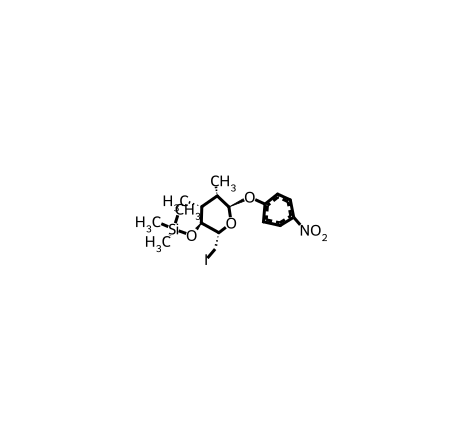 C[C@@H]1[C@@H](Oc2ccc([N+](=O)[O-])cc2)O[C@H](CI)[C@@H](O[Si](C)(C)C)[C@@H]1C